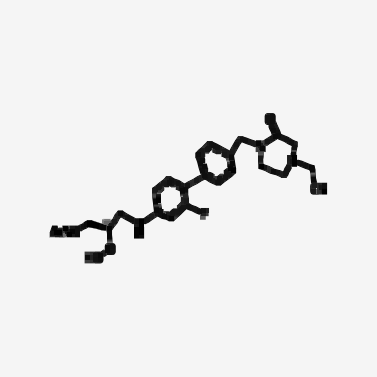 CC(=O)NC[C@@H](CNc1ccc(-c2ccc(CN3CCN(CC#N)CC3=O)cc2)c(F)c1)OO